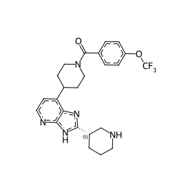 O=C(c1ccc(OC(F)(F)F)cc1)N1CCC(c2ccnc3[nH]c([C@H]4CCCNC4)nc23)CC1